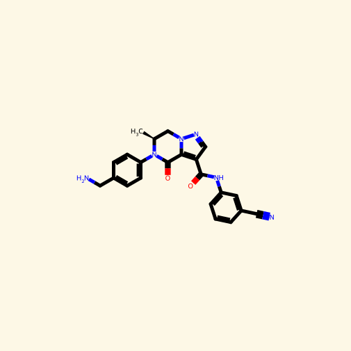 C[C@H]1Cn2ncc(C(=O)Nc3cccc(C#N)c3)c2C(=O)N1c1ccc(CN)cc1